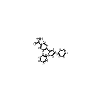 NC(=O)c1ccc(-c2cc(-c3cccnc3)cn2-c2ccccn2)cc1